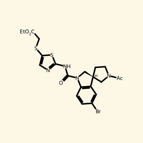 CCOC(=O)CSc1cnc(NC(=O)N2C[C@]3(CCN(C(C)=O)C3)c3cc(Br)ccc32)s1